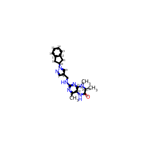 Cc1nc(NCc2cnn(C3Cc4ccccc4C3)c2)nc2c1NC(=O)[C@H](C)N2C